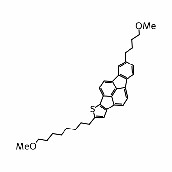 COCCCCCCCCc1cc2c(s1)-c1ccc3c4c(ccc-2c14)-c1ccc(CCCCOC)cc1-3